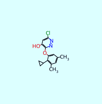 Cc1cc(C)c(C2CC2)c(Oc2nnc(Cl)cc2O)c1